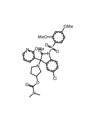 COc1ccc(S(=O)(=O)N2C(=O)C(c3cccnc3OC)(N3CCC(OC(=O)N(C)C)C3)c3cc(Cl)ccc32)c(OC)c1